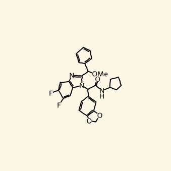 COC(c1ccccc1)c1nc2cc(F)c(F)cc2n1C(C(=O)NC1CCCC1)c1ccc2c(c1)OCO2